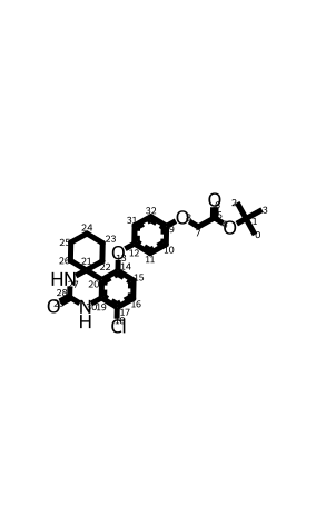 CC(C)(C)OC(=O)COc1ccc(Oc2ccc(Cl)c3c2C2(CCCCC2)NC(=O)N3)cc1